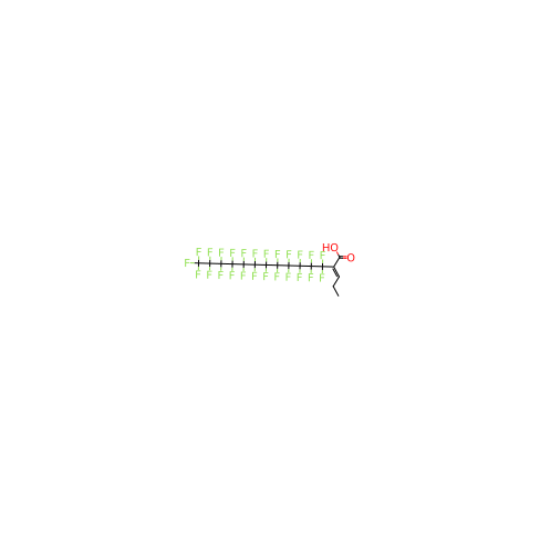 CCC=C(C(=O)O)C(F)(F)C(F)(F)C(F)(F)C(F)(F)C(F)(F)C(F)(F)C(F)(F)C(F)(F)C(F)(F)C(F)(F)C(F)(F)C(F)(F)F